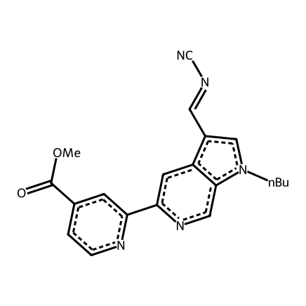 CCCCn1cc(C=NC#N)c2cc(-c3cc(C(=O)OC)ccn3)ncc21